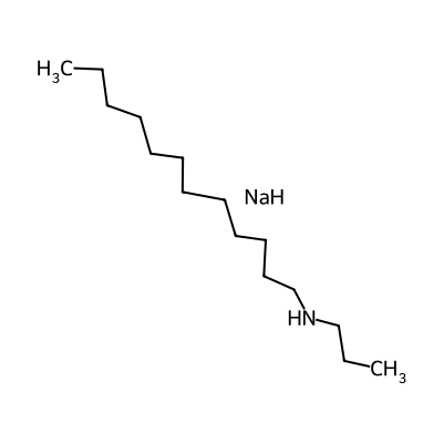 CCCCCCCCCCCCNCCC.[NaH]